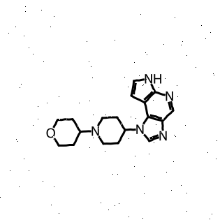 c1cc2c(ncc3ncn(C4CCN(C5CCOCC5)CC4)c32)[nH]1